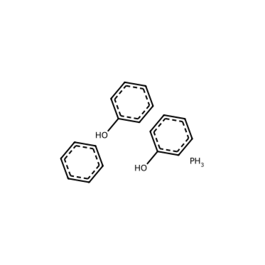 Oc1ccccc1.Oc1ccccc1.P.c1ccccc1